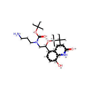 CC(C)(C)OC(=O)N(CCCN)CC(O[Si](C)(C)C(C)(C)C)c1ccc(O)c2[nH]c(=O)ccc12